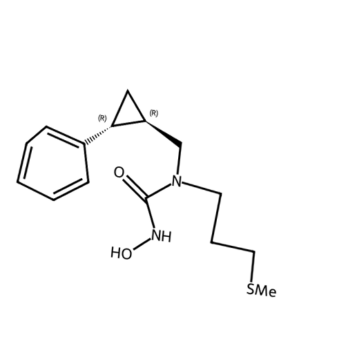 CSCCCN(C[C@@H]1C[C@H]1c1ccccc1)C(=O)NO